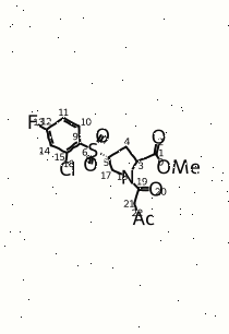 COC(=O)C1C[C@@H](S(=O)(=O)c2ccc(F)cc2Cl)CN1C(=O)CC(C)=O